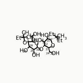 CCC(C)(C)O[C@@H]1C(CO)O[C@@H](O[C@H]2C(O)C(O)[C@H](C(C)(CC)CC)O[C@H]2CO)[C@@H](O)C1O